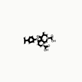 CC(C)c1ccc(-n2nc3c4c2CCN(C(=O)O)C4CN(C(=O)O)CC3C)cc1